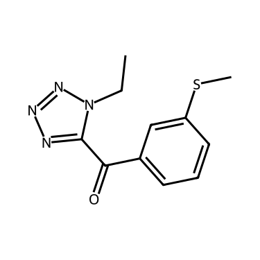 CCn1nnnc1C(=O)c1cccc(SC)c1